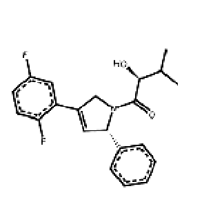 CC(C)[C@H](O)C(=O)N1CC(c2cc(F)ccc2F)=C[C@H]1c1ccccc1